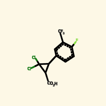 O=C(O)C1C(c2ccc(F)c(C(F)(F)F)c2)C1(Cl)Cl